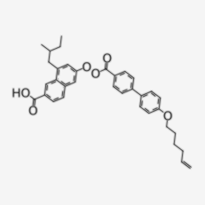 C=CCCCCOc1ccc(-c2ccc(C(=O)OOc3cc(CC(C)CC)c4cc(C(=O)O)ccc4c3)cc2)cc1